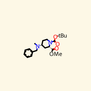 COC(=O)[C@@H]1C[C@H](N(C)Cc2ccccc2)CCN1C(=O)OC(C)(C)C